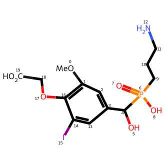 COc1cc(C(O)P(=O)(O)CCCN)cc(I)c1OCC(=O)O